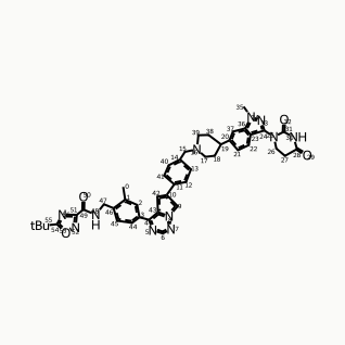 Cc1cc(-c2ncnn3cc(-c4ccc(CN5CCC(c6ccc7c(N8CCC(=O)NC8=O)nn(C)c7c6)CC5)cc4)cc23)ccc1CNC(=O)c1noc(C(C)(C)C)n1